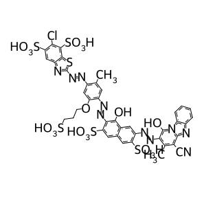 Cc1cc(N=Nc2c(S(=O)(=O)O)cc3cc(S(=O)(=O)O)c(N=Nc4c(C)c(C#N)c5nc6ccccc6n5c4O)cc3c2O)c(OCCCS(=O)(=O)O)cc1N=Nc1nc2cc(S(=O)(=O)O)c(Cl)c(S(=O)(=O)O)c2s1